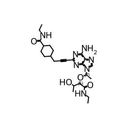 CCNC(=O)C1CCC(CC#Cc2nc(N)c3ncn([C@@H](C)O[C@H](C(=O)NCC)C(C)O)c3n2)CC1